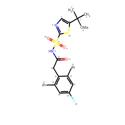 COC(C)(C)c1cnc(S(=O)(=O)NC(=O)Cc2c(C(C)C)cc(F)cc2C(C)C)s1